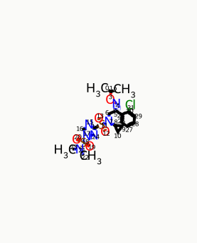 CC(C)O/N=C(\CN(C1CC1)S(=O)(=O)c1ncn(S(=O)(=O)N(C)C)n1)c1ccccc1Cl